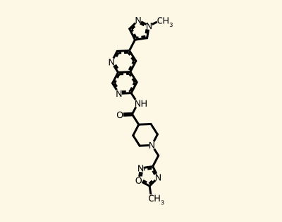 Cc1nc(CN2CCC(C(=O)Nc3cc4cc(-c5cnn(C)c5)cnc4cn3)CC2)no1